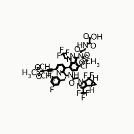 CC(C)(C#Cc1ccc(-c2ccc(Cl)c3c(N(C(=O)CNC(=O)C(=O)O)S(C)(=O)=O)nn(CC(F)(F)F)c23)c([C@H](Cc2cc(F)cc(F)c2)NC(=O)Cn2nc(C(F)(F)F)c3c2C(F)(F)[C@@H]2C[C@H]32)n1)S(C)(=O)=O